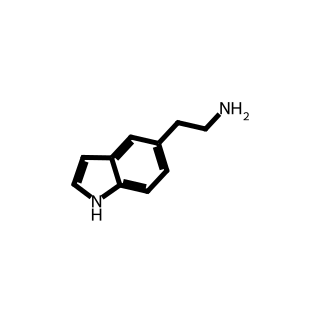 NCCc1ccc2[nH]ccc2c1